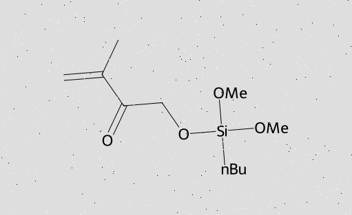 C=C(C)C(=O)CO[Si](CCCC)(OC)OC